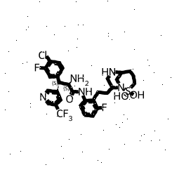 N[C@H](C(=O)Nc1cccc(F)c1CCC1CNC2CCCS(O)(O)N1C2)[C@H](c1cncc(C(F)(F)F)c1)c1ccc(Cl)c(F)c1